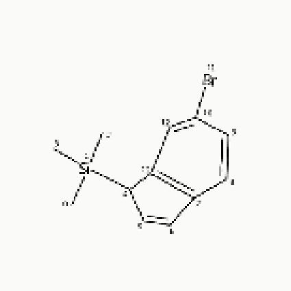 C[Si](C)(C)C1C=Cc2ccc(Br)cc21